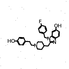 Oc1ccc(CCN2CCC(Cc3nc4ccc(O)cc4n3Cc3ccc(F)cc3)CC2)cc1